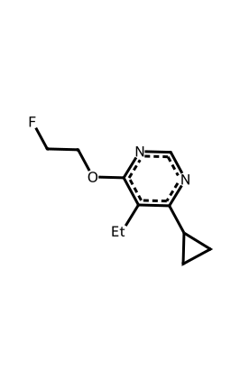 CCc1c(OCCF)ncnc1C1CC1